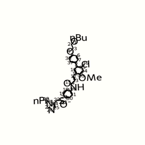 CCCCOCCOc1ccc(-c2cc(/C=C/C(=O)Nc3ccc([S+]([O-])Cc4cncn4CCC)cc3)c(OC)cc2Cl)cc1